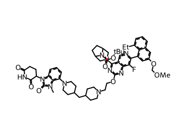 CCc1cccc2cc(OCOC)cc(-c3ncc4c(N5CC6CCC(C5)N6C(=O)OC(C)(C)C)nc(OCCN5CCC(CC6CCN(c7cccc8c7n(C)c(=O)n8C7CCC(=O)NC7=O)CC6)CC5)nc4c3F)c12